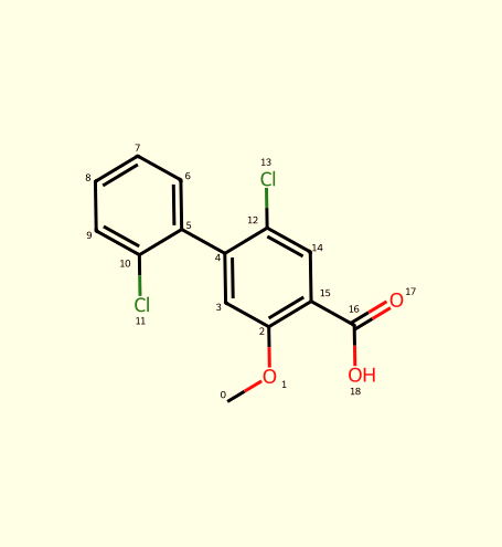 COc1cc(-c2ccccc2Cl)c(Cl)cc1C(=O)O